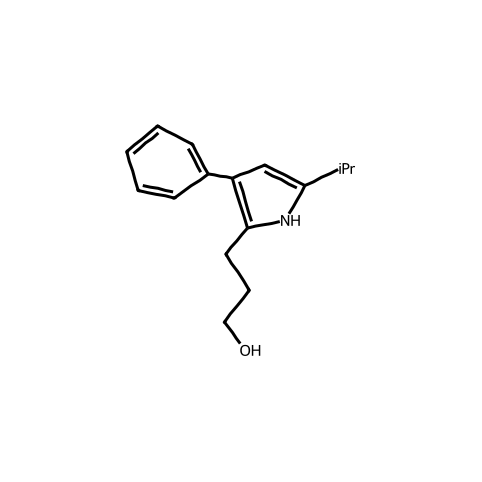 CC(C)c1cc(-c2ccccc2)c(CCCO)[nH]1